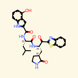 CC(C)C[C@H](NC(=O)c1cc2c(O)cccc2[nH]1)C(=O)N[C@@H](C[C@@H]1CCNC1=O)C(=O)c1nc2ccccc2s1